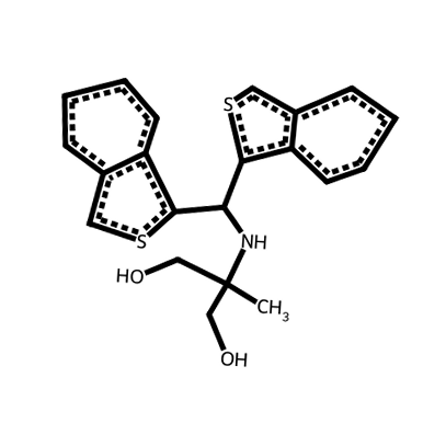 CC(CO)(CO)NC(c1scc2ccccc12)c1scc2ccccc12